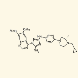 COc1cc2ncnc(-n3nc(Nc4ccc(N5CCN(CC6CC6)[C@@H](C)C5)nc4)nc3N)c2cc1OC